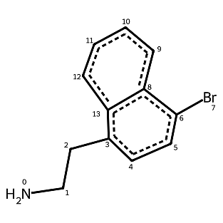 NCCc1ccc(Br)c2ccccc12